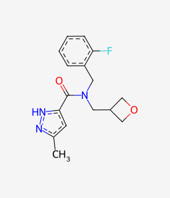 Cc1cc(C(=O)N(Cc2ccccc2F)CC2COC2)[nH]n1